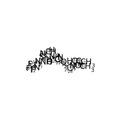 Cc1nsc(Nc2cnc(C(F)(F)F)cn2)c1C(=O)Nc1ccc(OC[C@@H]2CCCN(C(=O)OC(C)(C)C)C2)nc1